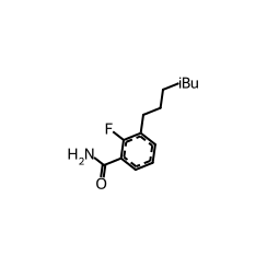 CCC(C)CCCc1cccc(C(N)=O)c1F